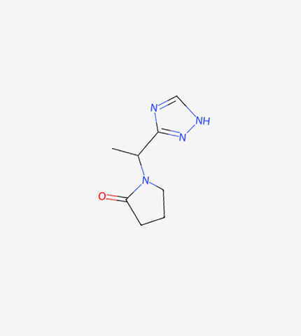 CC(c1nc[nH]n1)N1CCCC1=O